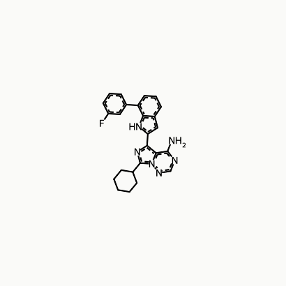 Nc1ncnn2c(C3CCCCC3)nc(-c3cc4cccc(-c5cccc(F)c5)c4[nH]3)c12